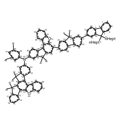 CCCCCCCC1(CCCCCCC)c2ccccc2-c2ccc(-c3ccc4c(c3)C(C)(C)c3cc(-c5cc6c(c7c5oc5ccccc57)-c5ccc(N(c7cc(C)cc(C)c7)c7ccc8c(c7)C(C)(C)c7c9c(c%10oc%11ccccc%11c%10c7-8)-c7ccccc7C9(C)C)cc5C6(C)C)ccc3-4)cc21